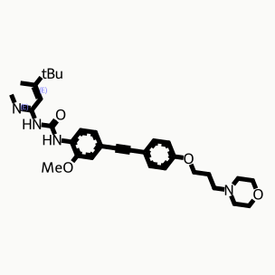 C/N=C(\C=C(/C)C(C)(C)C)NC(=O)Nc1ccc(C#Cc2ccc(OCCCN3CCOCC3)cc2)cc1OC